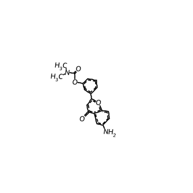 CN(C)C(=O)Oc1cccc(-c2cc(=O)c3cc(N)ccc3o2)c1